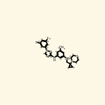 Cc1cc(NCC2(N3CCOCC3)CC2)cc(Nc2ncn(-c3cc(F)cc(F)c3)n2)c1